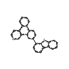 c1ccc2c(c1)sc1c(-c3ccc4c5ccccc5c5ccncc5c4c3)cccc12